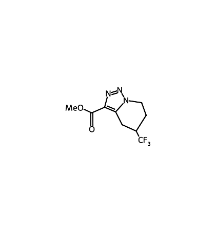 COC(=O)c1nnn2c1CC(C(F)(F)F)CC2